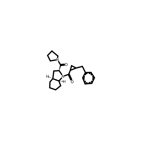 O=C([C@@H]1C[C@@H]2CCCC[C@@H]2N1C(=O)C1CC1Cc1ccccc1)N1CCCC1